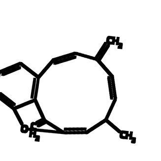 C=C1/C=C\c2cccc3o/c(c(=C)c23)=C/C(C)/C=C\1